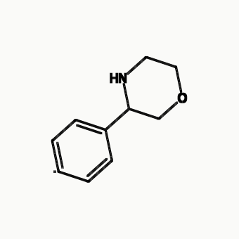 [c]1ccc(C2COCCN2)cc1